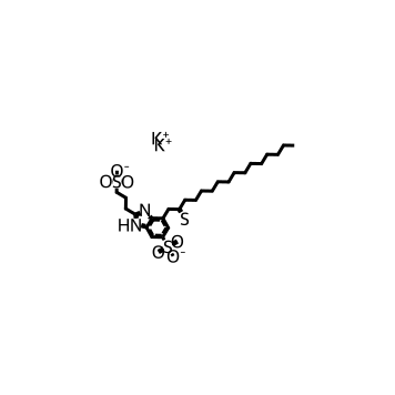 CCCCCCCCCCCCCCC(=S)Cc1cc(S(=O)(=O)[O-])cc2[nH]c(CCCS(=O)(=O)[O-])nc12.[K+].[K+]